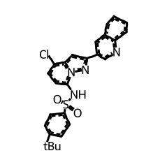 CC(C)(C)c1ccc(S(=O)(=O)Nc2ccc(Cl)c3cc(-c4cnc5ccccc5c4)nn23)cc1